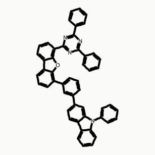 c1ccc(-c2nc(-c3ccccc3)nc(-c3cccc4c3oc3c(-c5cccc(-c6ccc7c8ccccc8n(-c8ccccc8)c7c6)c5)cccc34)n2)cc1